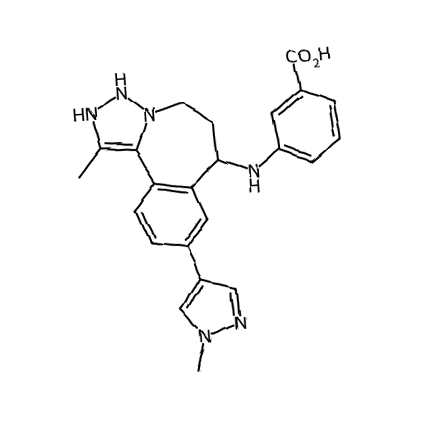 CC1=C2c3ccc(-c4cnn(C)c4)cc3C(Nc3cccc(C(=O)O)c3)CCN2NN1